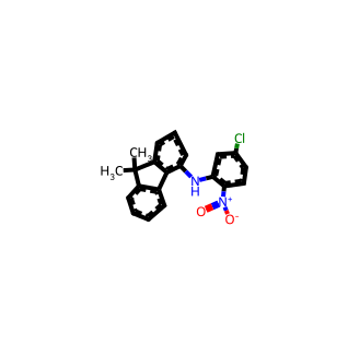 CC1(C)c2ccccc2-c2c(Nc3cc(Cl)ccc3[N+](=O)[O-])cccc21